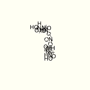 C[C@@H](C(=O)Nc1ccc(CN(Cc2ccc(NC(=O)[C@H](C)N(C)C(=O)[C@@H](NC(=O)O)C(C)(C)C)cc2)c2ccccc2)cc1)N(C)C(=O)[C@@H](NC(=O)O)C(C)(C)C